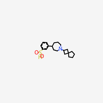 O=[SH](=O)c1cccc(C2CCCN(C3CC4(CCCC4)C3)CC2)c1